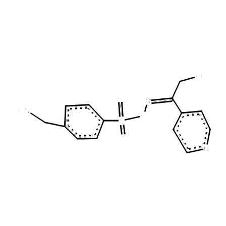 CCC(=NOS(=O)(=O)c1ccc(CN)cc1)c1ccncc1